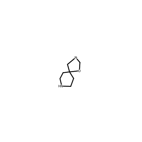 C1CC2(CCN1)C[N]CO2